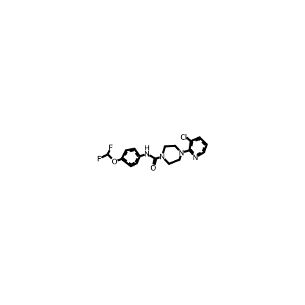 O=C(Nc1ccc(OC(F)F)cc1)N1CCN(c2ncccc2Cl)CC1